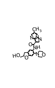 Cc1cnc2c(C(=O)Nc3cc4c(cc3N3CCOCC3)OC(CO)C4)cnn2c1